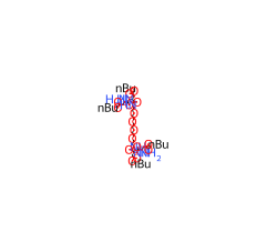 CCCCOC(=O)C[C@H](NC(=O)[C@@H](N)CC(=O)OCCCC)C(=O)NCCOCCOCCOCCOCCNC(=O)[C@H](CC(=O)OCCCC)NC(=O)[C@@H](N)CC(=O)OCCCC